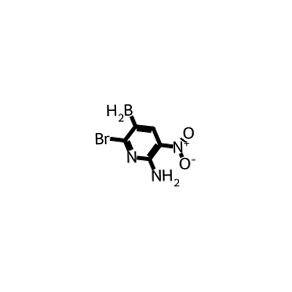 Bc1cc([N+](=O)[O-])c(N)nc1Br